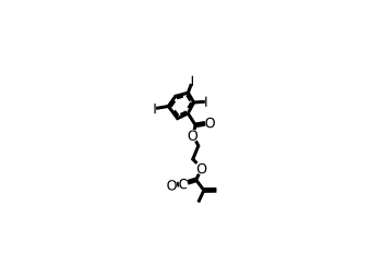 C=C(C)C(=C=O)OCCOC(=O)c1cc(I)cc(I)c1I